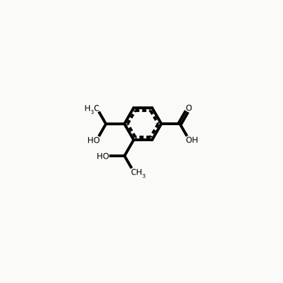 CC(O)c1ccc(C(=O)O)cc1C(C)O